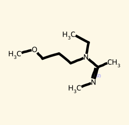 CCN(CCCOC)/C(C)=N\C